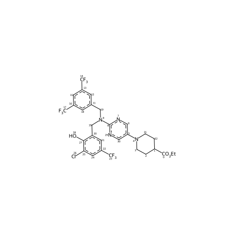 CCOC(=O)C1CCN(c2cnc(N(Cc3cc(C(F)(F)F)cc(C(F)(F)F)c3)Cc3cc(C(F)(F)F)cc(Cl)c3O)nc2)CC1